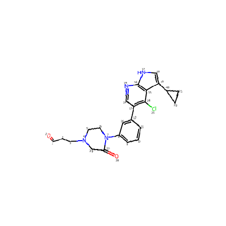 O=CCCN1CCN(c2cccc(-c3cnc4[nH]cc(C5CC5)c4c3Cl)c2)C(=O)C1